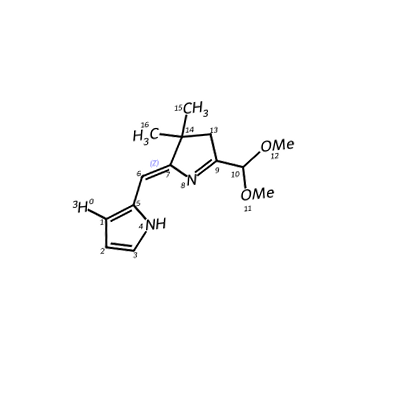 [3H]c1cc[nH]c1/C=C1\N=C(C(OC)OC)CC1(C)C